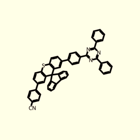 N#Cc1ccc(-c2ccc3c(c2)C2(c4cc(-c5ccc(-c6nc(-c7ccccc7)nc(-c7ccccc7)n6)cc5)ccc4S3)c3ccccc3-c3ccccc32)cc1